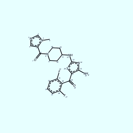 Cn1cncc1C(=O)N1CCC(Nc2nc(N)c(C(=O)c3c(F)cccc3F)s2)CC1